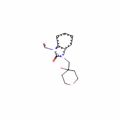 O=Cn1c(=O)n(CC2(O)CCOCC2)c2ccccc21